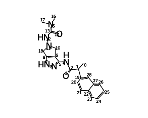 CC(C(=O)Nc1n[nH]c2c1CN(NC(=O)N(C)C)C2)c1ccc2ccccc2c1